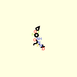 CCc1sc(N2CC(C)(OC)C2)nc1C(=O)Nc1cc(F)c(OC2CC3CC3C2)c(F)c1